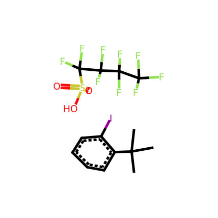 CC(C)(C)c1ccccc1I.O=S(=O)(O)C(F)(F)C(F)(F)C(F)(F)C(F)(F)F